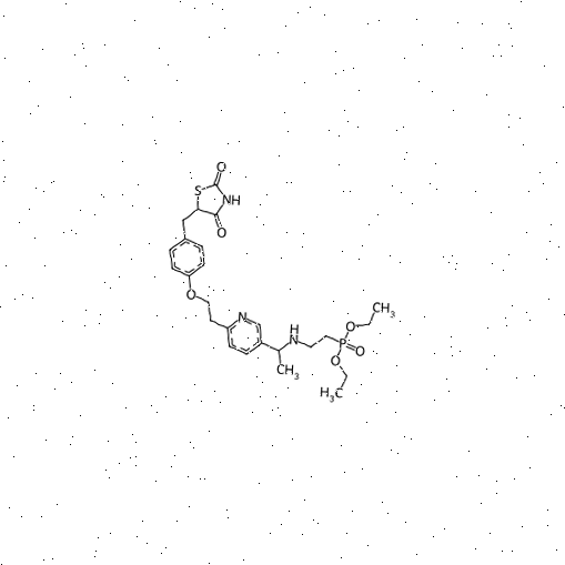 CCOP(=O)(CCNC(C)c1ccc(CCOc2ccc(CC3SC(=O)NC3=O)cc2)nc1)OCC